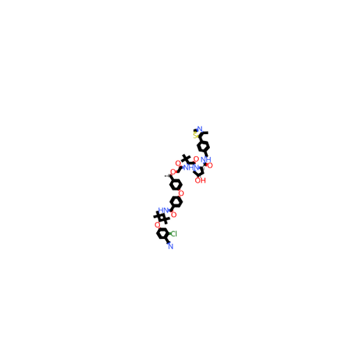 Cc1ncsc1-c1ccc(CNC(=O)[C@@H]2C[C@@H](O)CN2C(=O)C(NC(=O)CO[C@@H](C)c2ccc(Oc3ccc(C(=O)N[C@H]4C(C)(C)[C@H](Oc5ccc(C#N)c(Cl)c5)C4(C)C)cc3)cc2)C(C)(C)C)cc1